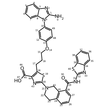 Nc1nc2ccccc2n1-c1ccc(OCCCc2sc(N3CCc4cccc(C(=O)Nc5nc6ccccc6s5)c4C3)nc2C(=O)O)cc1